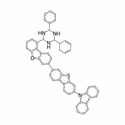 C1=CCC(C2NC(c3ccccc3)NC(c3cccc4oc5cc(-c6ccc7c(c6)sc6cc(-n8c9ccccc9c9ccccc98)ccc67)ccc5c34)N2)C=C1